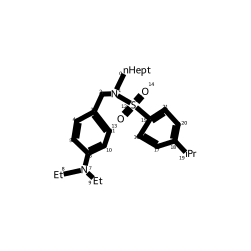 CCCCCCCN(Cc1ccc(N(CC)CC)cc1)S(=O)(=O)c1ccc(C(C)C)cc1